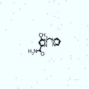 Cc1cc(C(N)=O)nn1Cn1cccn1